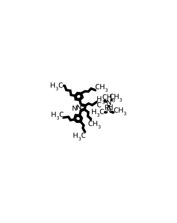 CCCCCc1cc(CCCCC)cc(C2=C(CCCC)C(CCCC)=C(c3cc(CCCC)cc(CCCC)c3)[N+]2=[N-])c1.CC[N](CC)[Pd][N](CC)CC